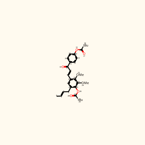 CC=CCc1cc(C=CC(=O)c2ccc(OC(=O)C(C)(C)C)cc2)c(OC)c(OC)c1OC(=O)C(C)(C)C